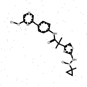 CCOc1cncc(-c2ccc(NC(=O)C(C)(C)c3csc(N[S+]([O-])C4(C)CC4)n3)cc2)n1